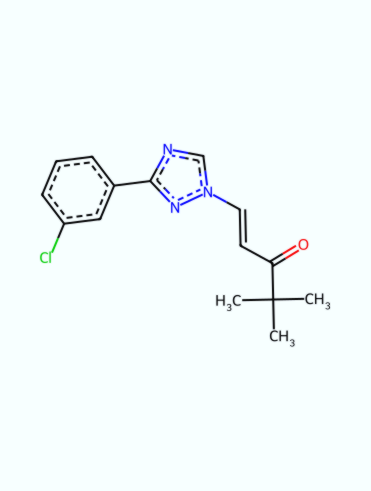 CC(C)(C)C(=O)C=Cn1cnc(-c2cccc(Cl)c2)n1